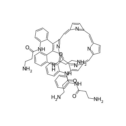 NCCC(=O)Nc1ccccc1C1=CC2=CC3=NC(=CC4=NC(=CC5=NC(=C(c6ccccc6NC(=O)CCN)C1=N2)C(c1ccccc1NC(=O)CCN)=C5c1ccccc1NC(=O)CCN)C=C4)C=C3